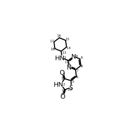 O=C1NC(=O)/C(=C\c2ccnc(NC3CCCCC3)n2)S1